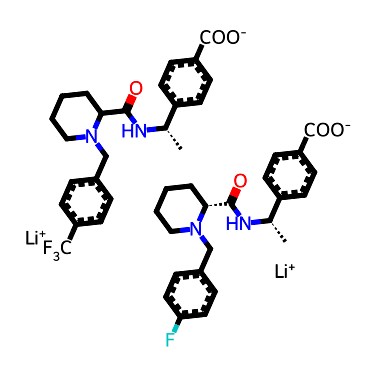 C[C@H](NC(=O)C1CCCCN1Cc1ccc(C(F)(F)F)cc1)c1ccc(C(=O)[O-])cc1.C[C@H](NC(=O)[C@H]1CCCCN1Cc1ccc(F)cc1)c1ccc(C(=O)[O-])cc1.[Li+].[Li+]